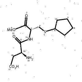 COC(=O)[C@H](CSC1CCCC1)NC(=O)[C@@H](N)CC(=O)O